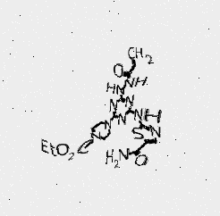 C=CC(=O)NNc1nc(Nc2ncc(C(N)=O)s2)nc(N2CCN(C(=O)OCC)CC2)n1